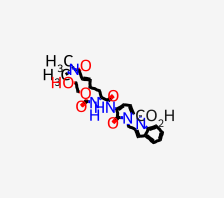 CN(C)C(=O)C=CCCC(NC(=O)OCCO)C(=O)Nc1cccn(Cc2cc3ccccc3n2C(=O)O)c1=O